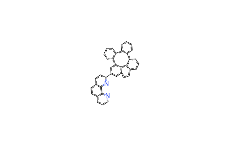 c1cnc2c(c1)ccc1ccc(-c3cc4ccc5cccc6c7ccccc7c7ccccc7c(c3)c4c56)nc12